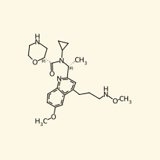 CONCCCc1cc([C@@H](C)N(C(=O)[C@H]2CNCCO2)C2CC2)nc2ccc(OC)cc12